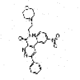 O=C(NCCN1CCOCC1)c1nnc(-c2ccccc2)cc1-c1cccc([N+](=O)[O-])c1